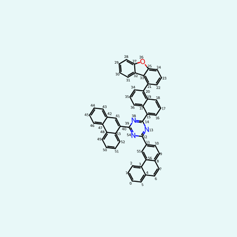 c1ccc2c(c1)ccc1ccc(-c3nc(-c4cccc5c(-c6cccc7oc8ccccc8c67)cccc45)nc(-c4cc5ccccc5c5ccccc45)n3)cc12